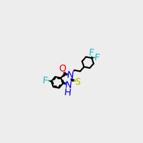 O=c1c2cc(F)ccc2[nH]c(=S)n1CCC1CCC(F)(F)CC1